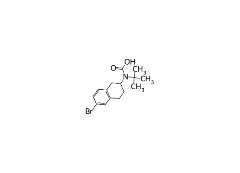 CC(C)(C)N(C(=O)O)C1CCc2cc(Br)ccc2C1